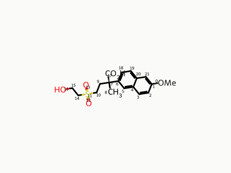 COc1ccc2cc([C@](C)(CCS(=O)(=O)CCO)C(=O)O)ccc2c1